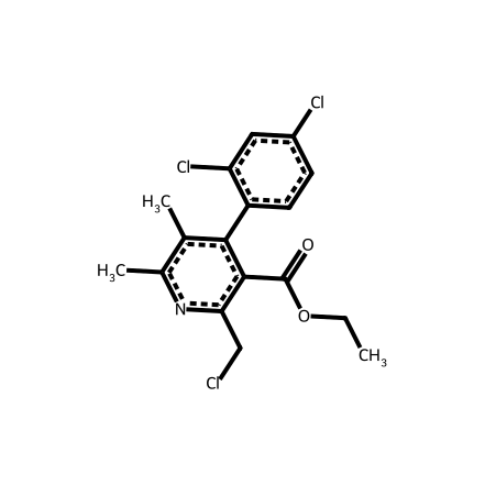 CCOC(=O)c1c(CCl)nc(C)c(C)c1-c1ccc(Cl)cc1Cl